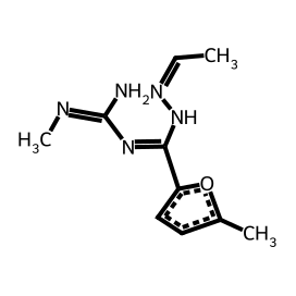 C/C=N\N/C(=N\C(N)=N/C)c1ccc(C)o1